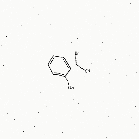 N#CCBr.Oc1ccccc1